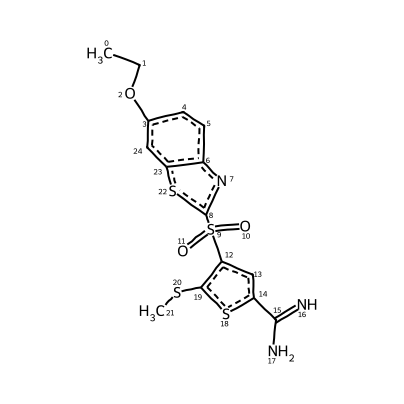 CCOc1ccc2nc(S(=O)(=O)c3cc(C(=N)N)sc3SC)sc2c1